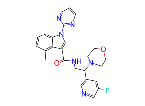 Cc1cccc2c1c(C(=O)NCC(c1cncc(F)c1)N1CCOCC1)cn2-c1ncccn1